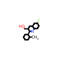 Cc1ccccc1-c1nc2ccc(F)cc2cc1CO